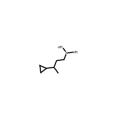 CCCN(CCC)CCC(C)C1CC1